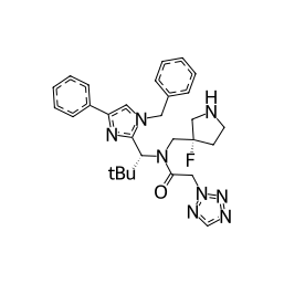 CC(C)(C)[C@H](c1nc(-c2ccccc2)cn1Cc1ccccc1)N(C[C@]1(F)CCNC1)C(=O)Cn1ncnn1